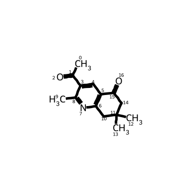 CC(=O)c1cc2c(nc1C)CC(C)(C)CC2=O